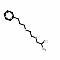 CC(C)COCCOCCCc1cc[c]cc1